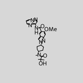 COc1cc2nn(C3CCC(N(C)C(=O)C(C)(C)O)CC3)cc2cc1C(=O)Nc1cnn2cccnc12